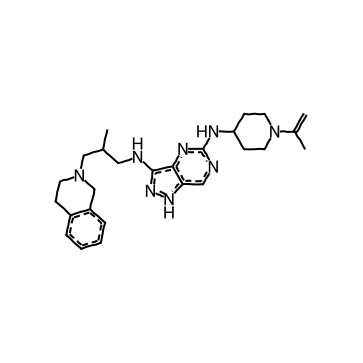 C=C(C)N1CCC(Nc2ncc3[nH]nc(NCC(C)CN4CCc5ccccc5C4)c3n2)CC1